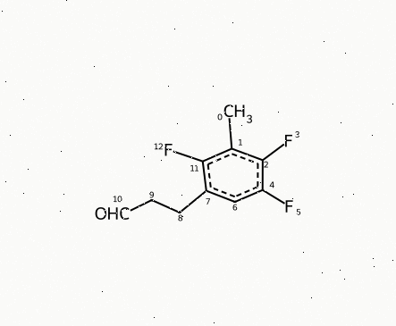 Cc1c(F)c(F)cc(CCC=O)c1F